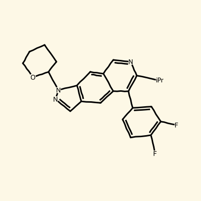 CC(C)c1ncc2cc3c(cnn3C3CCCCO3)cc2c1-c1ccc(F)c(F)c1